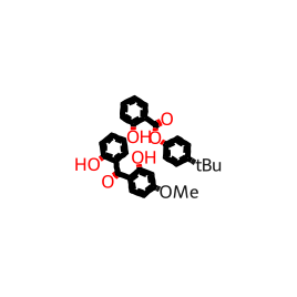 CC(C)(C)c1ccc(OC(=O)c2ccccc2O)cc1.COc1ccc(C(=O)c2ccccc2O)c(O)c1